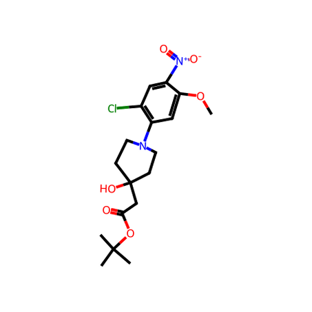 COc1cc(N2CCC(O)(CC(=O)OC(C)(C)C)CC2)c(Cl)cc1[N+](=O)[O-]